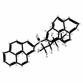 O=P(c1cc2ccc3cccc4ccc(c1)c2c34)(c1cc2ccc3cccc4ccc(c1)c2c34)C(F)(F)C(F)(F)C(F)(F)C(F)(F)F